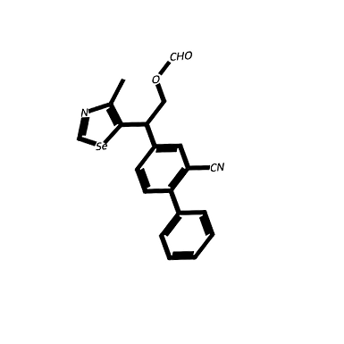 Cc1nc[se]c1C(COC=O)c1ccc(-c2ccccc2)c(C#N)c1